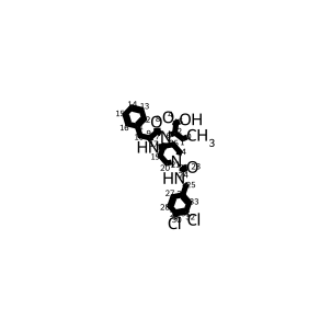 CCC(C(=O)O)N1C(=O)C(Cc2ccccc2)NC12CCN(C(=O)NCc1ccc(Cl)c(Cl)c1)CC2